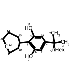 CCCCCCC(C)(C)c1cc(O)c(C2CCCCCC2)c(O)c1